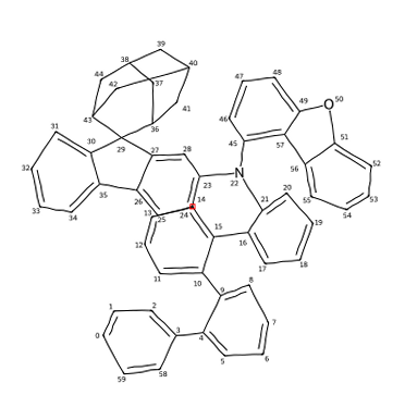 c1ccc(-c2ccccc2-c2ccccc2-c2ccccc2N(c2ccc3c(c2)C2(c4ccccc4-3)C3CC4CC(C3)CC2C4)c2cccc3oc4ccccc4c23)cc1